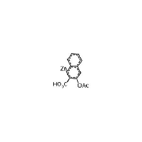 CC(=O)Oc1cc2ccccc2cc1C(=O)O.[Zn]